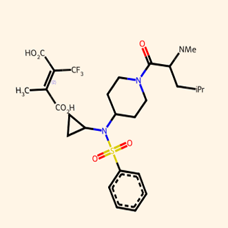 C/C(C(=O)O)=C(\C(=O)O)C(F)(F)F.CNC(CC(C)C)C(=O)N1CCC(N(C2CC2)S(=O)(=O)c2ccccc2)CC1